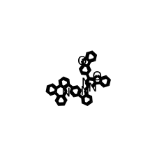 c1ccc2c(c1)-c1ccccc1-n1c3cc4c5ccccc5n(-c5nc(-c6ccc7oc8ccccc8c7c6)c6oc7ccccc7c6n5)c4cc3c3cccc-2c31